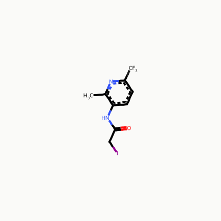 Cc1nc(C(F)(F)F)ccc1NC(=O)CI